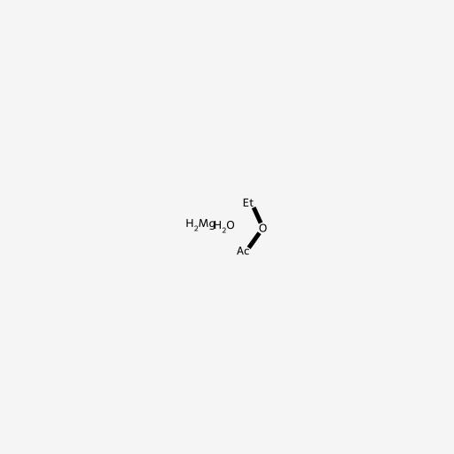 CCOC(C)=O.O.[MgH2]